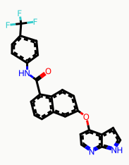 O=C(Nc1ccc(C(F)(F)F)cc1)c1cccc2cc(Oc3ccnc4[nH]ccc34)ccc12